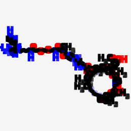 CO[C@H]1C[C@@H]2CC[C@@H](C)[C@@](O)(O2)C(=O)C(=O)N2CCCC[C@H]2C(=O)O[C@H]([C@H](C)C[C@@H]2CC[C@@H](O)[C@H](OC)C2)C[C@@H](O)[C@H](C)/C=C(\C)[C@@H](O)[C@@H](OC)C(=NOCC(=O)NCc2cnc(N3CCN(C(=O)CN(C)CC(=O)NCCOCCOCCC(=O)NCCCCn4nc(-c5cnc6[nH]ccc6c5)c5c(N)ncnc54)CC3)nc2)[C@H](C)C[C@H](C)/C=C/C=C/C=C/1C